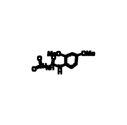 COc1ccc(NC(=O)N[SH](=O)=O)c(OC)c1